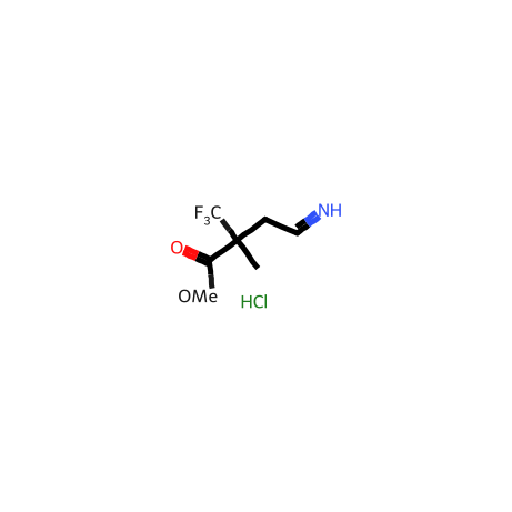 COC(=O)C(C)(CC=N)C(F)(F)F.Cl